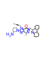 CC#CCn1c(N2CCCC(N)C2)nc2c(C)nn(Cc3nc4ccccc4c4ccccc34)c(=O)c21